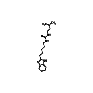 CN(C)CCNC(=O)NSCCSCc1nc2ccccc2[nH]1